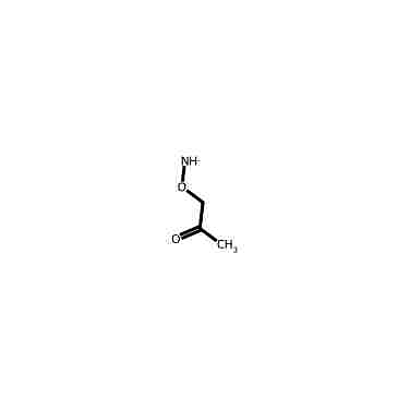 CC(=O)CO[NH]